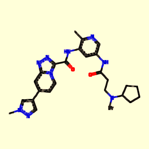 Cc1ncc(NC(=O)CCN(C(C)C)C2CCCC2)cc1NC(=O)c1nnc2cc(-c3cnn(C)c3)ccn12